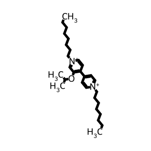 CCCCCCCC[n+]1ccc(-c2cc[n+](CCCCCCCC)cc2OC(C)C)cc1